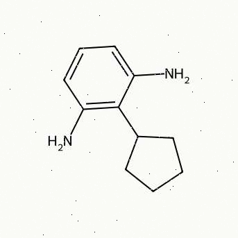 Nc1cccc(N)c1C1CCCC1